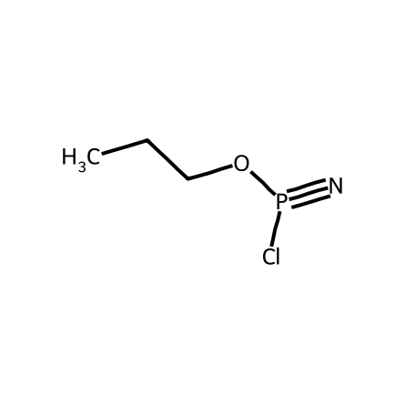 CCCOP(#N)Cl